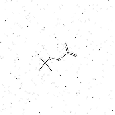 CC(C)(C)O[O][V](=[O])=[O]